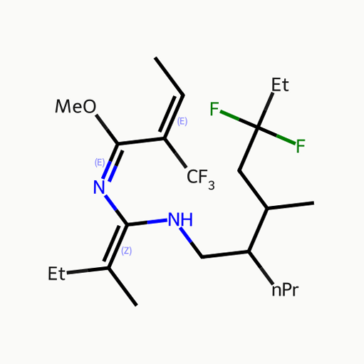 C\C=C(/C(=N\C(NCC(CCC)C(C)CC(F)(F)CC)=C(\C)CC)OC)C(F)(F)F